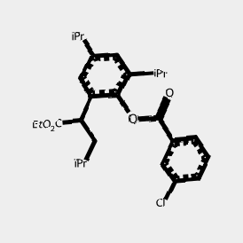 CCOC(=O)C(CC(C)C)c1cc(C(C)C)cc(C(C)C)c1OC(=O)c1cccc(Cl)c1